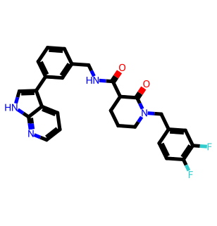 O=C(NCc1cccc(-c2c[nH]c3ncccc23)c1)C1CCCN(Cc2ccc(F)c(F)c2)C1=O